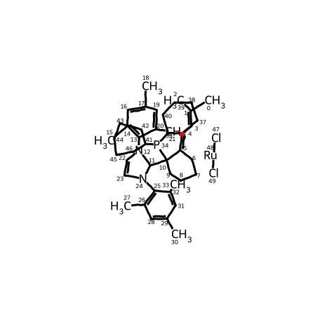 CC(C)=CC=C1CCCCC1(C1N(c2c(C)cc(C)cc2C)C=CN1c1c(C)cc(C)cc1C)P(C1CCCCC1)C1CCCCC1.[Cl][Ru][Cl]